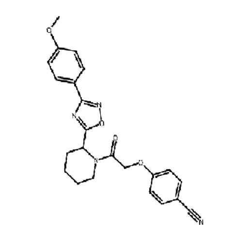 COc1ccc(-c2noc(C3CCCCN3C(=O)COc3ccc(C#N)cc3)n2)cc1